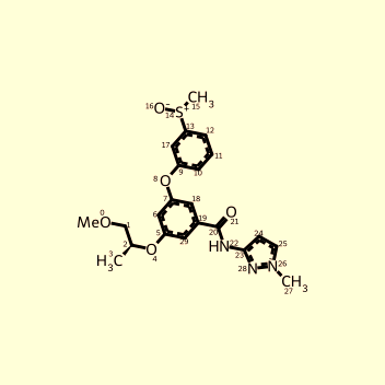 COC[C@H](C)Oc1cc(Oc2cccc([S+](C)[O-])c2)cc(C(=O)Nc2ccn(C)n2)c1